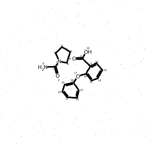 NC(=O)N1CCCC1.O=C(O)c1ccccc1Oc1ccccc1